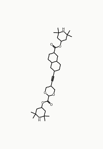 CC1(C)CC(OC(=O)C2CCC3CC(C#CC4COC(C(=O)OC5CC(C)(C)NC(C)(C)C5)OC4)CCC3C2)CC(C)(C)N1